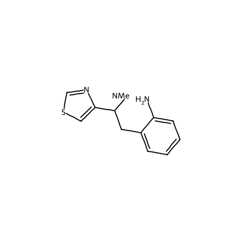 CNC(Cc1ccccc1N)c1cscn1